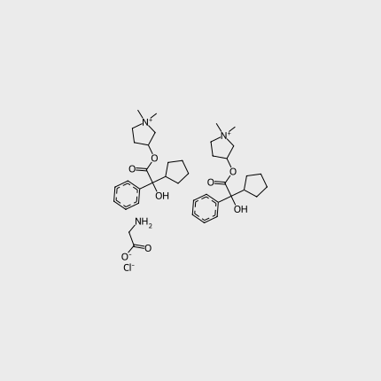 C[N+]1(C)CCC(OC(=O)C(O)(c2ccccc2)C2CCCC2)C1.C[N+]1(C)CCC(OC(=O)C(O)(c2ccccc2)C2CCCC2)C1.NCC(=O)[O-].[Cl-]